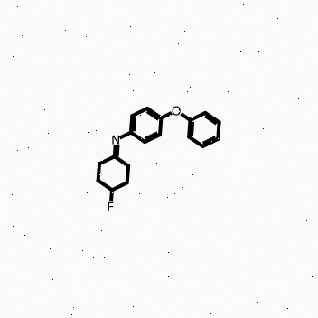 FC1CCC(=Nc2ccc(Oc3ccccc3)cc2)CC1